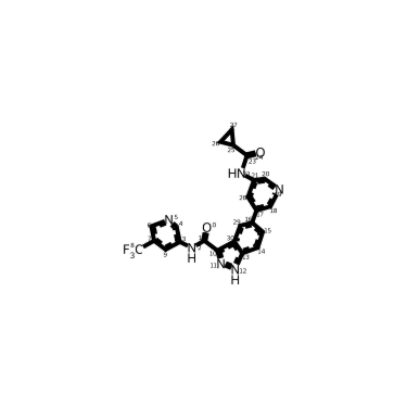 O=C(Nc1cncc(C(F)(F)F)c1)c1n[nH]c2ccc(-c3cncc(NC(=O)C4CC4)c3)cc12